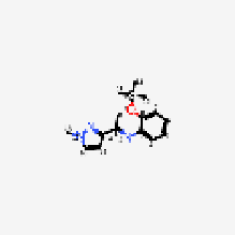 CC(=Nc1ccccc1O[Si](C)(C)C)c1ccn(C)n1